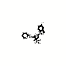 CC(CCn1ncc2cc(I)ccc21)(C(=O)NOC1CCCCO1)S(C)(=O)=O